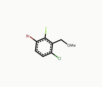 COCc1c(Cl)ccc(Br)c1F